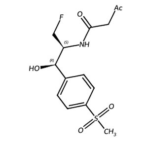 CC(=O)CC(=O)N[C@H](CF)[C@H](O)c1ccc(S(C)(=O)=O)cc1